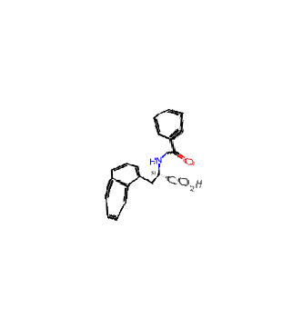 O=C(N[C@@H](Cc1cccc2ccccc12)C(=O)O)c1ccccc1